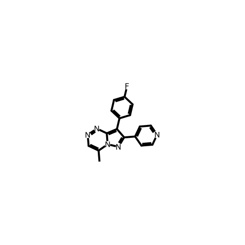 Cc1cnnc2c(-c3ccc(F)cc3)c(-c3ccncc3)nn12